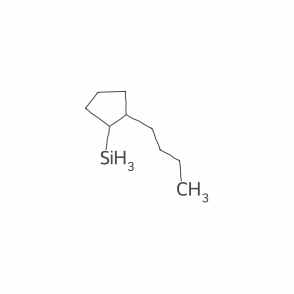 CCCCC1CCCC1[SiH3]